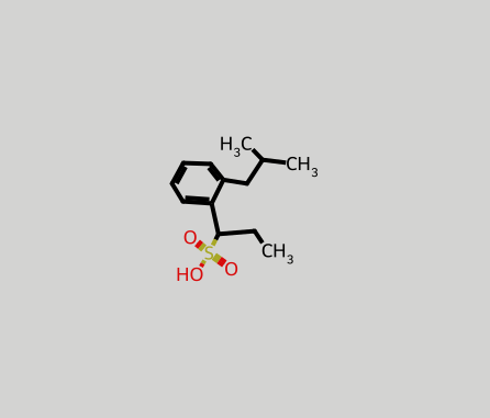 CCC(c1ccccc1CC(C)C)S(=O)(=O)O